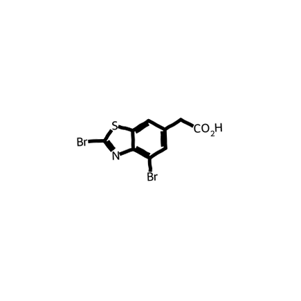 O=C(O)Cc1cc(Br)c2nc(Br)sc2c1